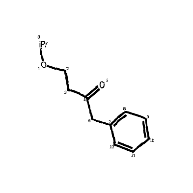 CC(C)OCCC(=O)Cc1ccccc1